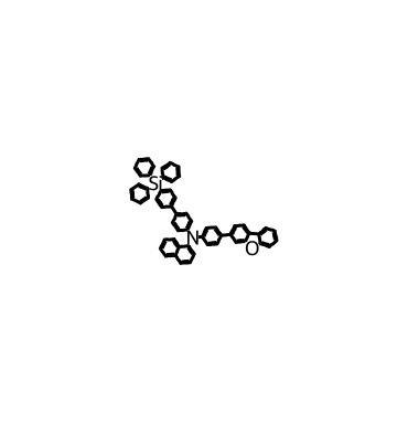 c1ccc([Si](c2ccccc2)(c2ccccc2)c2ccc(-c3ccc(N(c4ccc(-c5ccc6c(c5)oc5ccccc56)cc4)c4cccc5ccccc45)cc3)cc2)cc1